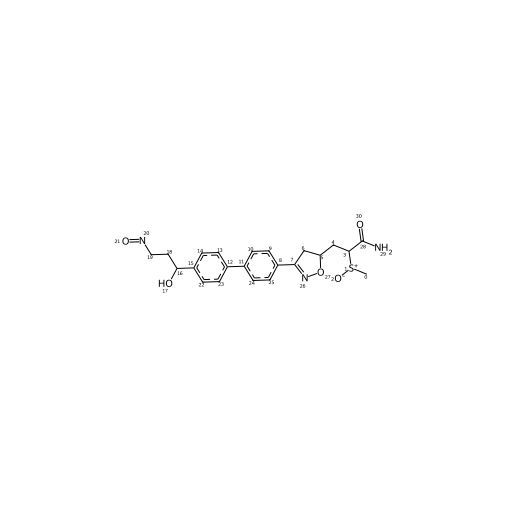 C[S+]([O-])C(CC1CC(c2ccc(-c3ccc(C(O)CCN=O)cc3)cc2)=NO1)C(N)=O